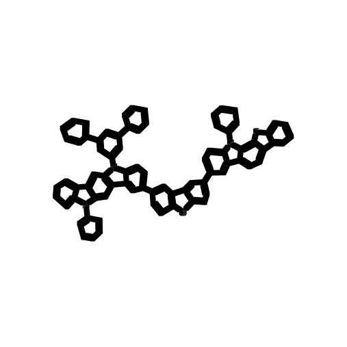 c1ccc(-c2cc(-c3ccccc3)cc(-n3c4ccc(-c5ccc6oc7ccc(-c8ccc9c(c8)c8ccc%10c%11ccccc%11sc%10c8n9-c8ccccc8)cc7c6c5)cc4c4cc5c(cc43)c3ccccc3n5-c3ccccc3)c2)cc1